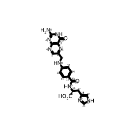 Nc1nc2ncc(CNc3ccc(C(=O)N[C@@H](Cc4c[nH]cn4)C(=O)O)cc3)nc2c(=O)[nH]1